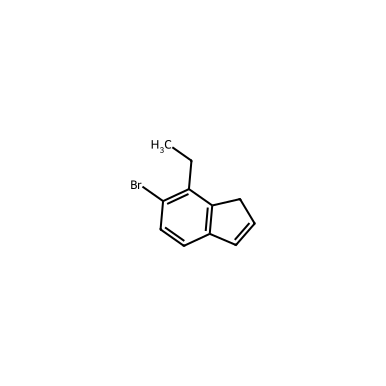 CCc1c(Br)ccc2c1CC=C2